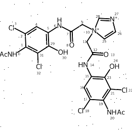 CC(=O)Nc1c(Cl)cc(NC(=O)C[N+]2(CC(=O)Nc3cc(Cl)c(NC(C)=O)c(Cl)c3O)C=C[N+]=C2)c(O)c1Cl